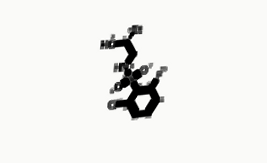 CC[C@@H](O)CNS(=O)(=O)c1c(F)cccc1Cl